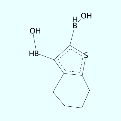 OBc1sc2c(c1BO)CCCC2